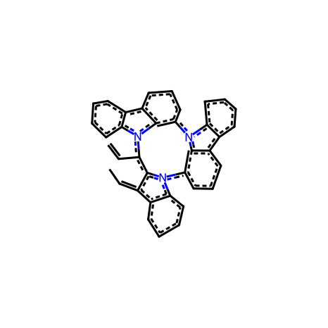 C=Cc1c2/c(=C\C)c3ccccc3n2c2cccc3c4ccccc4n(c4cccc5c6ccccc6n1c54)c32